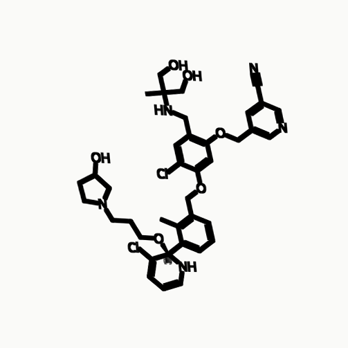 Cc1c(COc2cc(OCc3cncc(C#N)c3)c(CNC(C)(CO)CO)cc2Cl)cccc1[C@]1(OCCCN2CCC(O)C2)NC=CC=C1Cl